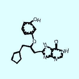 O=c1[nH]cnc2nc(CC(CC3CCCC3)Oc3cccc(O)c3)[nH]c12